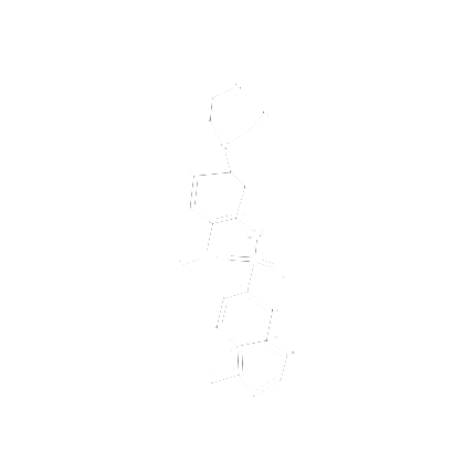 COc1ccc(N2C[C@@H](C)N[C@@H](C)C2)cc1NS(=O)(=O)c1ccc2c(Cl)cccc2c1